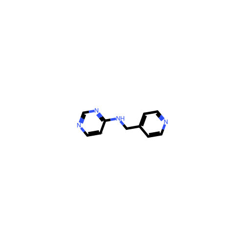 [c]1cncnc1NCc1ccncc1